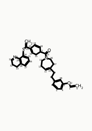 C=COc1cccc(CCC2=CCCN(C(=O)C3C=CC(C(=C)Sc4cccc5c4N=CCC5)=CC3)CC2)c1